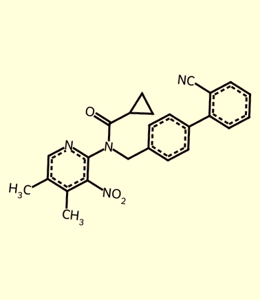 Cc1cnc(N(Cc2ccc(-c3ccccc3C#N)cc2)C(=O)C2CC2)c([N+](=O)[O-])c1C